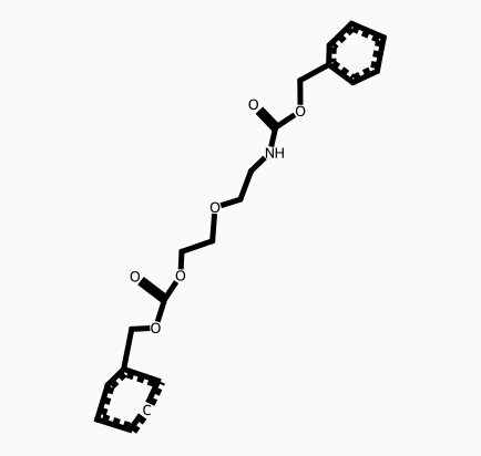 O=C(NCCOCCOC(=O)OCc1ccccc1)OCc1ccccc1